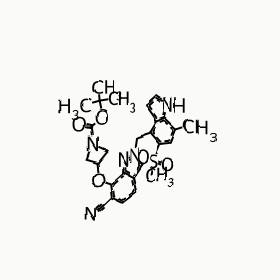 Cc1cc(S(C)(=O)=O)c(Cn2cc3ccc(C#N)c(OC4CN(C(=O)OC(C)(C)C)C4)c3n2)c2cc[nH]c12